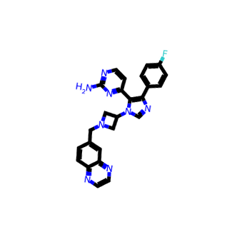 Nc1nccc(-c2c(-c3ccc(F)cc3)ncn2C2CN(Cc3ccc4nccnc4c3)C2)n1